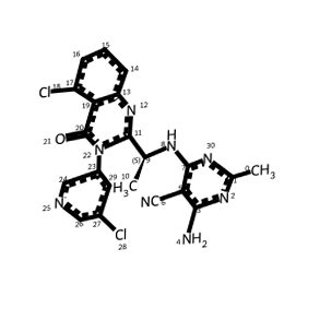 Cc1nc(N)c(C#N)c(N[C@@H](C)c2nc3cccc(Cl)c3c(=O)n2-c2cncc(Cl)c2)n1